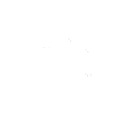 O=C1CCc2c(ncnc2C(=O)O)N1